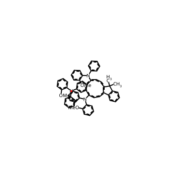 COc1ccccc1N(c1ccccc1)c1ccc2c(N(c3ccccc3)c3ccccc3OC)ccc3c(ccc(N(c4ccccc4)c4ccccc4OC)c2c1)-c1ccccc1C3(C)C